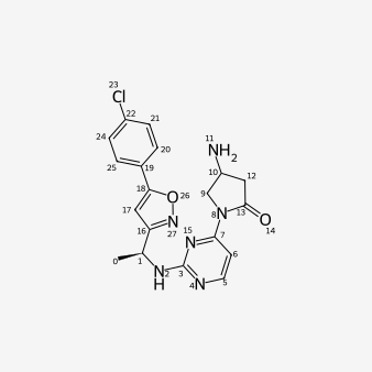 C[C@H](Nc1nccc(N2CC(N)CC2=O)n1)c1cc(-c2ccc(Cl)cc2)on1